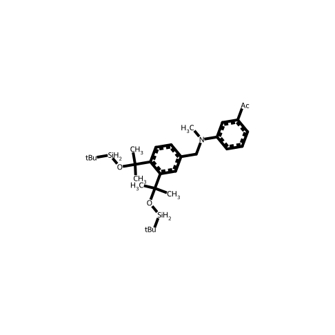 CC(=O)c1cccc(N(C)Cc2ccc(C(C)(C)O[SiH2]C(C)(C)C)c(C(C)(C)O[SiH2]C(C)(C)C)c2)c1